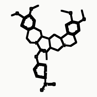 CCC1CN2CCc3cc(OC)c(OC)cc3C2CC1C1Cc2cc(OC)c(OC)cc2CCN1C(=O)Oc1ccc([N+](=O)[O-])cc1